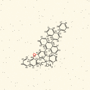 CC1(C)c2ccccc2-c2c(-c3c4ccccc4c(-c4ccc(-c5ccccc5)c5ccccc45)c4ccccc34)cc3oc4c5ccccc5ccc4c3c21